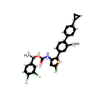 COc1cc(-c2sc(F)cc2NC(=O)O[C@H](C)c2ccc(F)c(F)c2)ccc1-c1ccc(C2CC2)cc1